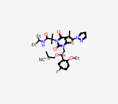 CCOc1ccc(F)cc1[C@H](Cn1c(=O)n(C(C)(C)C(=O)NC(CC)CC)c(=O)c2c(C)c(-n3cccn3)sc21)OC[C@@H](C)C#N